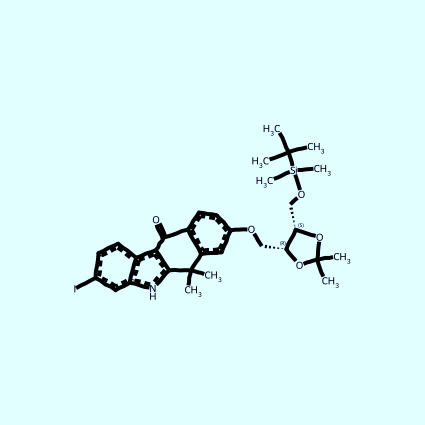 CC1(C)O[C@@H](CO[Si](C)(C)C(C)(C)C)[C@@H](COc2ccc3c(c2)C(C)(C)c2[nH]c4cc(I)ccc4c2C3=O)O1